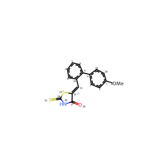 COc1ccc(-c2ccccc2/C=C2\SC(=S)NC2=O)cc1